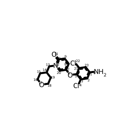 Nc1cc(Cl)c(Oc2ccc(=O)n(CC3CCOCC3)c2)c(Cl)c1